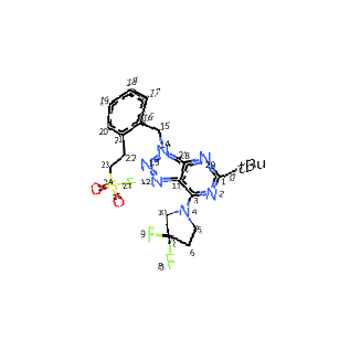 CC(C)(C)c1nc(N2CCC(F)(F)C2)c2nnn(Cc3ccccc3CCS(=O)(=O)F)c2n1